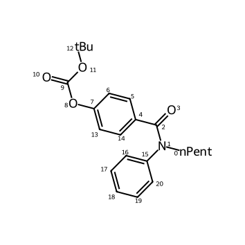 CCCCCN(C(=O)c1ccc(OC(=O)OC(C)(C)C)cc1)c1ccccc1